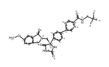 COc1ccc2c(c1)C(=O)N(C[C@@]1(c3ccc(-c4cnc(C(=O)NCC(F)(F)F)cn4)cc3)NC(=O)NC1=O)C2